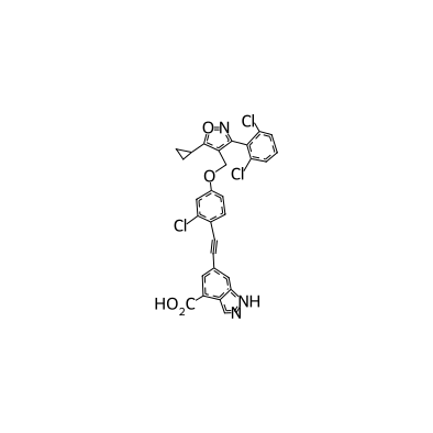 O=C(O)c1cc(C#Cc2ccc(OCc3c(-c4c(Cl)cccc4Cl)noc3C3CC3)cc2Cl)cc2[nH]ncc12